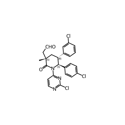 C[C@@]1(CC=O)C[C@H](c2cccc(Cl)c2)[C@@H](c2ccc(Cl)cc2)N(c2ccnc(Cl)n2)C1=O